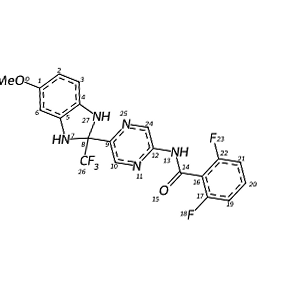 COc1ccc2c(c1)NC(c1cnc(NC(=O)c3c(F)cccc3F)cn1)(C(F)(F)F)N2